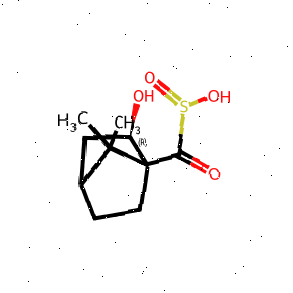 CC1(C)C2CCC1(C(=O)S(=O)O)[C@H](O)C2